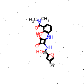 CC(C)c1coc([C@@H](O)Nc2c(Nc3cccc(C(=O)N(C)C)c3O)c(=O)c2=O)c1